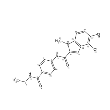 CSNC(=O)c1ccc(NC(=O)c2cc3c(Cl)c(Cl)ccc3n2C)cc1